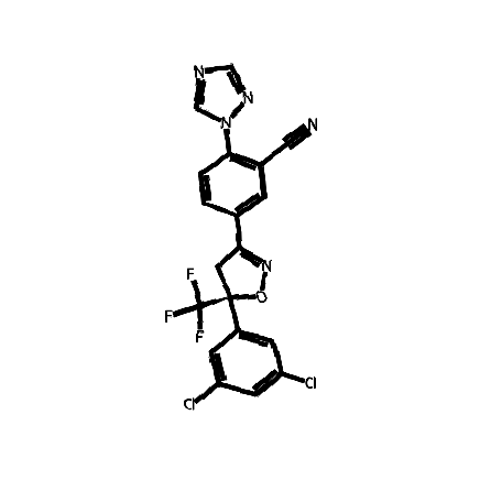 N#Cc1cc(C2=NO[C@@](c3cc(Cl)cc(Cl)c3)(C(F)(F)F)C2)ccc1-n1cncn1